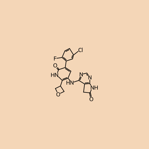 O=C1Cc2c(ncnc2Nc2cc(-c3cc(Cl)ccc3F)c(=O)[nH]c2C2COC2)N1